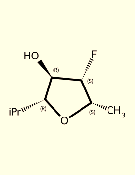 CC(C)[C@H]1O[C@@H](C)[C@@H](F)[C@@H]1O